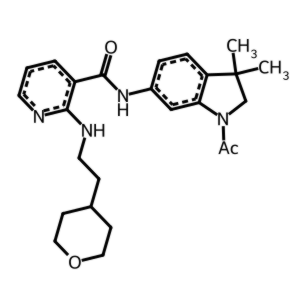 CC(=O)N1CC(C)(C)c2ccc(NC(=O)c3cccnc3NCCC3CCOCC3)cc21